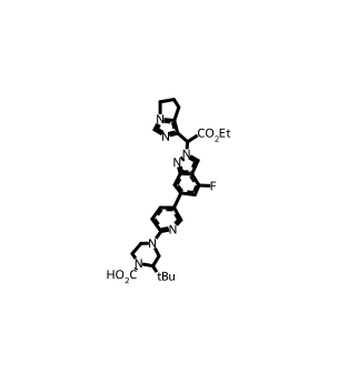 CCOC(=O)C(c1ncn2c1CCC2)n1cc2c(F)cc(-c3ccc(N4CCN(C(=O)O)C(C(C)(C)C)C4)nc3)cc2n1